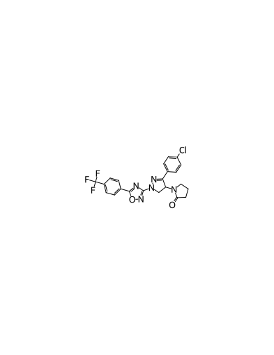 O=C1CCCN1C1CN(c2noc(-c3ccc(C(F)(F)F)cc3)n2)N=C1c1ccc(Cl)cc1